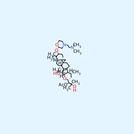 CC(=O)O[C@@H]([C@H]1C[C@@H](C)[C@H]2[C@H](O1)[C@H](O)[C@@]1(C)[C@@H]3CC[C@H]4C(C)(C)[C@@H](O[C@H]5CN(CCN(C)C)CCO5)CC[C@@]45C[C@@]35CC[C@]21C)C(C)(C)O